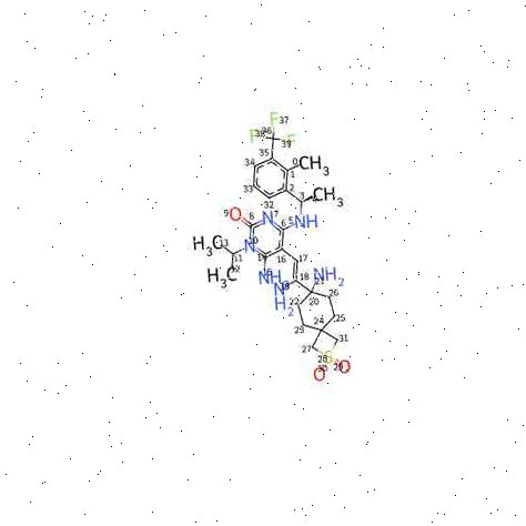 Cc1c([C@@H](C)Nc2nc(=O)n(C(C)C)c(N)c2/C=C(\N)C2(N)CCC3(CC2)CS(=O)(=O)C3)cccc1C(F)(F)F